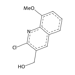 COc1cccc2cc(CO)c(Cl)nc12